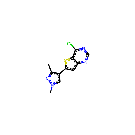 Cc1nn(C)cc1-c1cc2ncnc(Cl)c2s1